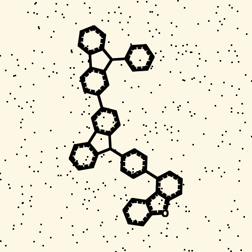 c1ccc(C2c3ccccc3-c3ccc(-c4ccc5c(c4)-c4ccccc4C5c4ccc(-c5cccc6oc7ccccc7c56)cc4)cc32)cc1